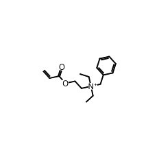 C=CC(=O)OCC[N+](CC)(CC)Cc1ccccc1